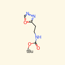 CC(C)(C)OC(=O)NCCc1nnco1